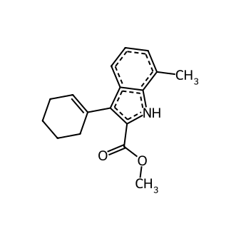 COC(=O)c1[nH]c2c(C)cccc2c1C1=CCCCC1